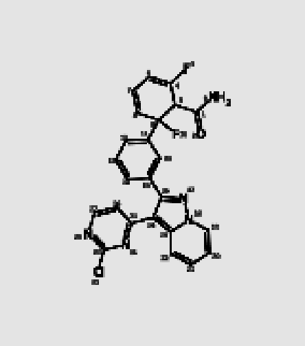 NC(=O)C1C(F)=CC=CC1(F)c1cccc(-c2nn3ccccc3c2-c2ccnc(Cl)n2)c1